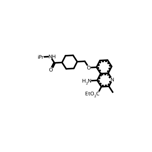 CCOC(=O)c1c(C)nc2cccc(OCC3CCC(C(=O)NC(C)C)CC3)c2c1N